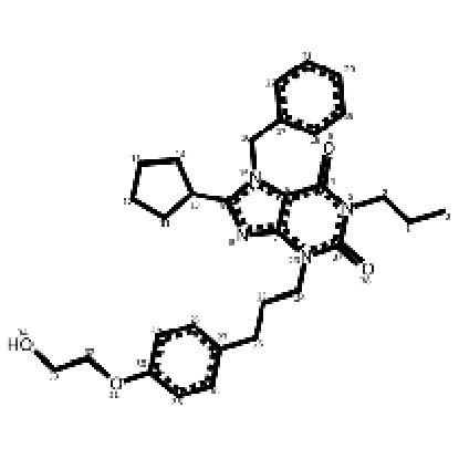 CCCn1c(=O)c2c(nc(C3CCCC3)n2Cc2ccccc2)n(CCCc2ccc(OCCO)cc2)c1=O